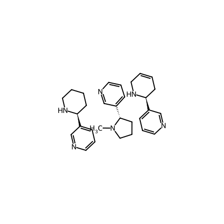 C1=CC[C@@H](c2cccnc2)NC1.CN1CCC[C@H]1c1cccnc1.c1cncc([C@@H]2CCCCN2)c1